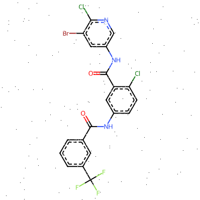 O=C(Nc1ccc(Cl)c(C(=O)Nc2cnc(Cl)c(Br)c2)c1)c1cccc(C(F)(F)F)c1